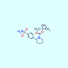 CC(C)(C)OC(=O)N1CCCCC1c1ccc(S(N)(=O)=O)cc1